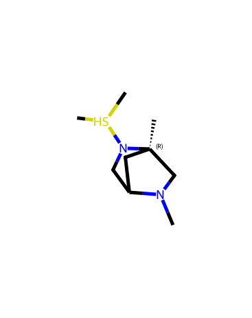 CN1C[C@@]2(C)CC1CN2[SH](C)C